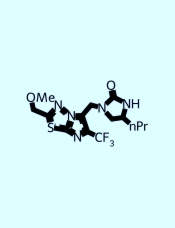 CCCC1CN(Cc2c(C(F)(F)F)nc3sc(COC)nn23)C(=O)N1